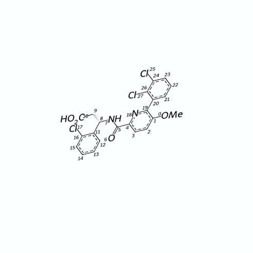 COc1ccc(C(=O)N[C@@H](CC(=O)O)c2ccccc2Cl)nc1-c1cccc(Cl)c1Cl